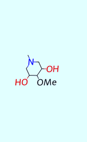 COC1C(O)CN(C)CC1O